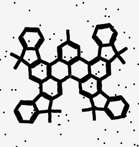 Cc1cc2c3c(c1)-c1c4c(cc5c6c(cc(c15)B3c1cc3c(c5cc7c(c-2c15)-c1ccccc1C7(C)C)-c1ccccc1C3(C)C)C(C)(C)c1ccccc1-6)C(C)(C)c1ccccc1-4